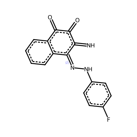 N=c1c(=O)c(=O)c2ccccc2/c1=N/Nc1ccc(F)cc1